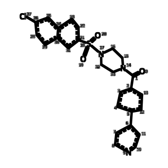 O=C(c1ccc(-c2ccncc2)cc1)N1CCN(S(=O)(=O)c2ccc3cc(Cl)ccc3c2)CC1